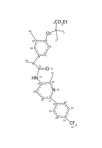 CCOC(=O)C(C)(C)Oc1ccc(C(C)C(=O)Nc2ccc(-c3ccc(C(F)(F)F)cc3)nc2C)cc1C